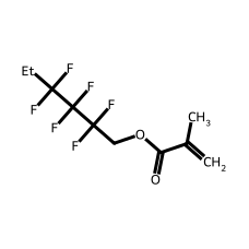 C=C(C)C(=O)OCC(F)(F)C(F)(F)C(F)(F)CC